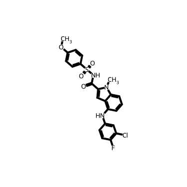 COc1ccc(S(=O)(=O)NC(=O)c2cc3c(Nc4ccc(F)c(Cl)c4)cccc3n2C)cc1